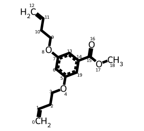 C=CCCOc1cc(OCCC=C)cc(C(=O)OC)c1